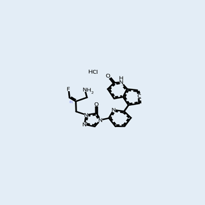 Cl.NC/C(=C\F)Cn1ncn(-c2cccc(-c3cccc4[nH]c(=O)ccc34)n2)c1=O